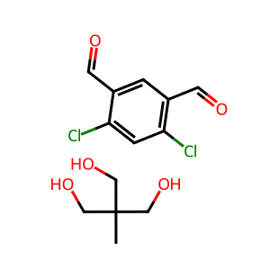 CC(CO)(CO)CO.O=Cc1cc(C=O)c(Cl)cc1Cl